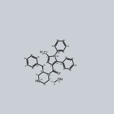 Cc1cc(C(=O)N2[C@H](CO)CNC[C@H]2Cc2ccccc2)c(-c2ccccc2)n1-c1ccccc1